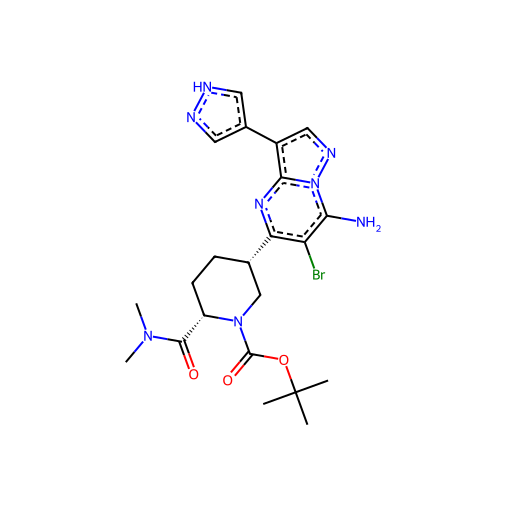 CN(C)C(=O)[C@@H]1CC[C@H](c2nc3c(-c4cn[nH]c4)cnn3c(N)c2Br)CN1C(=O)OC(C)(C)C